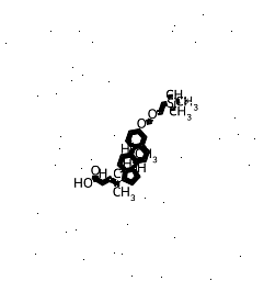 CC(CCC(=O)O)[C@H]1CC[C@H]2[C@@H]3CC=C4C[C@@H](OCOCC[Si](C)(C)C)CC[C@]4(C)[C@H]3CC[C@]12C